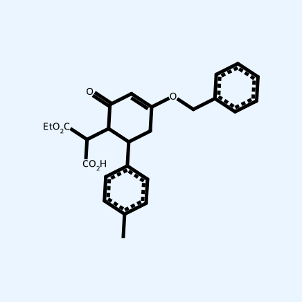 CCOC(=O)C(C(=O)O)C1C(=O)C=C(OCc2ccccc2)CC1c1ccc(C)cc1